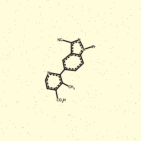 Cc1c(C(=O)O)ccnc1-c1ccc2c(c1)c(C#N)nn2C(C)C